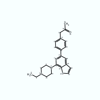 CCN1CCN(c2nc(-c3ccc(CC(C)=O)cc3)cc3ccsc23)CC1